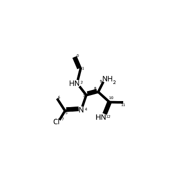 C=CNC(/N=C(\C)Cl)=C(\N)C(C)=N